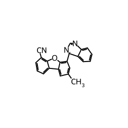 Cc1cc(-c2ncnc3ccccc23)c2oc3c(C#N)cccc3c2c1